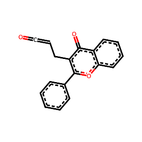 O=C=CCc1c(-c2ccccc2)oc2ccccc2c1=O